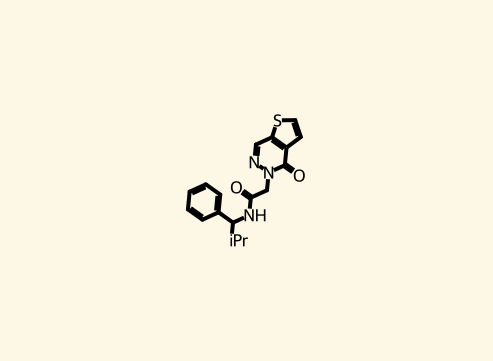 CC(C)C(NC(=O)Cn1ncc2sccc2c1=O)c1ccccc1